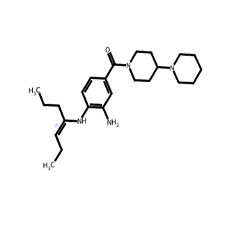 CC/C=C(/CCC)Nc1ccc(C(=O)N2CCC(N3CCCCC3)CC2)cc1N